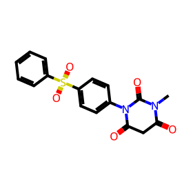 CN1C(=O)CC(=O)N(c2ccc(S(=O)(=O)c3ccccc3)cc2)C1=O